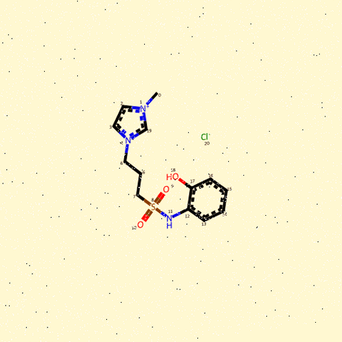 C[n+]1ccn(CCCS(=O)(=O)Nc2ccccc2O)c1.[Cl-]